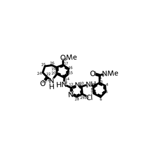 CNC(=O)c1ccccc1Nc1nc(Nc2ccc(OC)c3c2NC(=O)CCC3)ncc1Cl